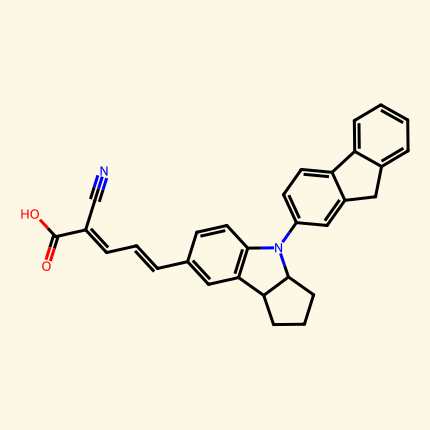 N#C/C(=C\C=C\c1ccc2c(c1)C1CCCC1N2c1ccc2c(c1)Cc1ccccc1-2)C(=O)O